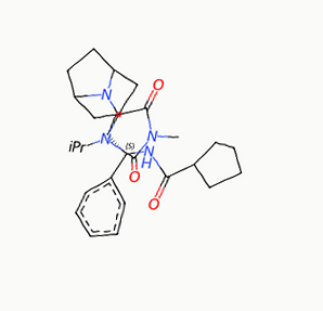 CC(C)N1C(=O)N(C)C(=O)C12CC1CCC(C2)N1CC[C@H](NC(=O)C1CCCC1)c1ccccc1